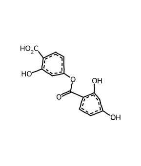 O=C(O)c1ccc(OC(=O)c2ccc(O)cc2O)cc1O